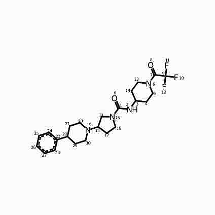 O=C(NC1CCN(C(=O)C(F)(F)F)CC1)N1CCC(N2CCC(c3ccccc3)CC2)C1